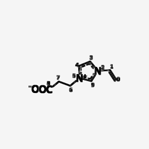 C=Cn1cc[n+](CCC(=O)[O-])c1